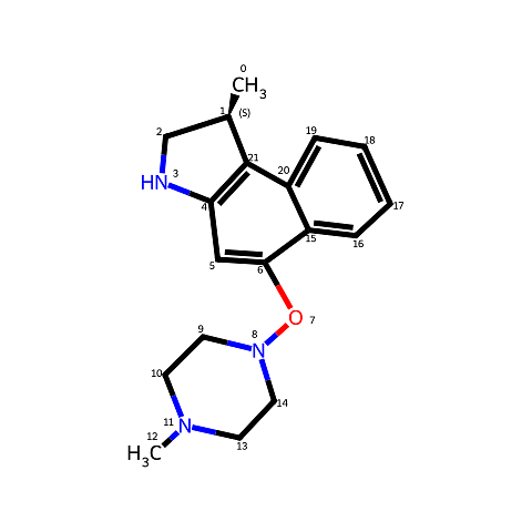 C[C@@H]1CNc2cc(ON3CCN(C)CC3)c3ccccc3c21